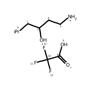 CC(C)CC(O)CCN.O=C(O)C(F)(F)F